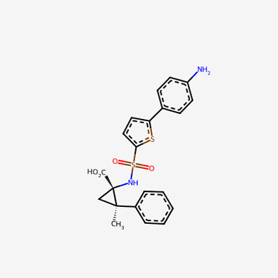 C[C@]1(c2ccccc2)C[C@@]1(NS(=O)(=O)c1ccc(-c2ccc(N)cc2)s1)C(=O)O